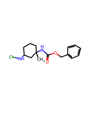 CC1(NC(=O)OCc2ccccc2)CCCC(NCl)C1